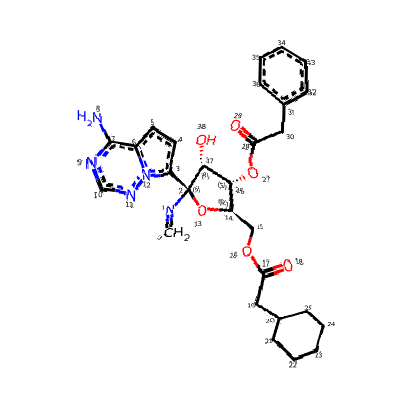 C=N[C@@]1(c2ccc3c(N)ncnn23)O[C@H](COC(=O)CC2CCCCC2)[C@@H](OC(=O)Cc2ccccc2)[C@H]1O